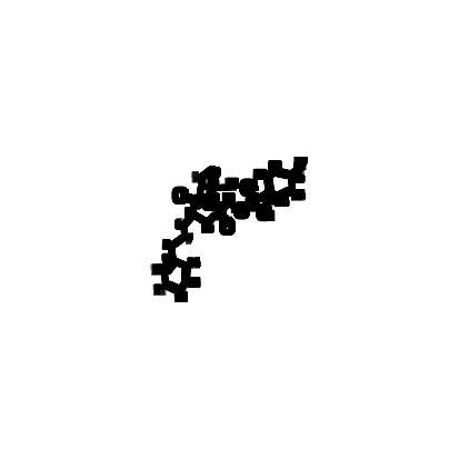 CCOC(=O)C(CCCc1ccccc1)CP(=O)(COS(=O)(=O)c1ccc(C)cc1)OCC